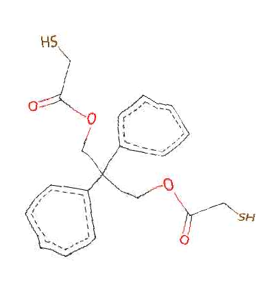 O=C(CS)OCC(COC(=O)CS)(c1ccccc1)c1ccccc1